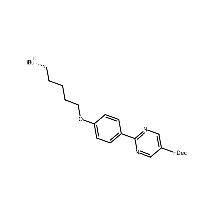 CCCCCCCCCCc1cnc(-c2ccc(OCCCCC[C@@H](C)CC)cc2)nc1